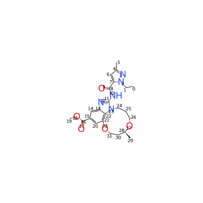 CCn1nc(C)cc1C(=O)Nc1nc2cc(C(=O)OC)cc3c2n1CCCO[C@@H](C)CCO3